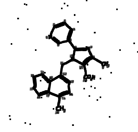 Cc1nc(-c2cccnc2)n(Cc2ccc(C)c3ccccc23)c1C(=O)O